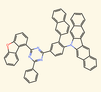 c1ccc(-c2nc(-c3ccc(-n4c5cc6ccccc6cc5c5cc6ccccc6cc54)c(-c4ccc5ccccc5c4)c3)nc(-c3cccc4oc5ccccc5c34)n2)cc1